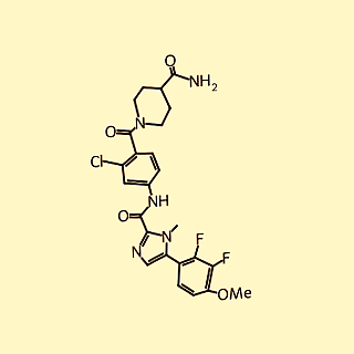 COc1ccc(-c2cnc(C(=O)Nc3ccc(C(=O)N4CCC(C(N)=O)CC4)c(Cl)c3)n2C)c(F)c1F